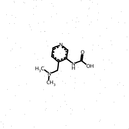 CN(C)Cc1ccncc1NC(=O)O